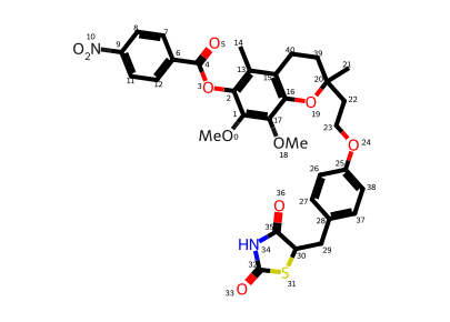 COc1c(OC(=O)c2ccc([N+](=O)[O-])cc2)c(C)c2c(c1OC)OC(C)(CCOc1ccc(CC3SC(=O)NC3=O)cc1)CC2